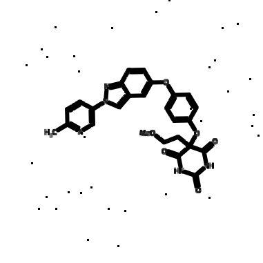 COCCC1(Oc2ccc(Oc3ccc4nn(-c5ccc(C)nc5)cc4c3)cc2)C(=O)NC(=O)NC1=O